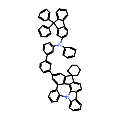 c1ccc(N(c2cccc(-c3cccc(-c4cc5c6c(c4)C4(CCCCC4)c4ccc7c8ccccc8n(c7c4-6)-c4ccccc4-5)c3)c2)c2ccc3c(c2)C(c2ccccc2)(c2ccccc2)c2ccccc2-3)cc1